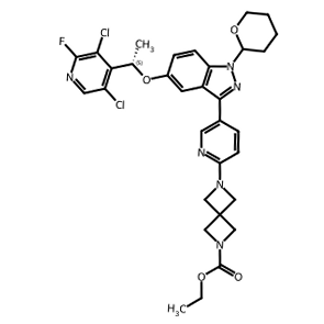 CCOC(=O)N1CC2(C1)CN(c1ccc(-c3nn(C4CCCCO4)c4ccc(O[C@@H](C)c5c(Cl)cnc(F)c5Cl)cc34)cn1)C2